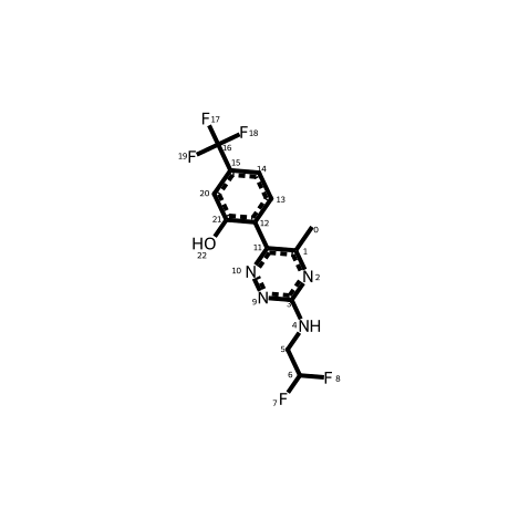 Cc1nc(NCC(F)F)nnc1-c1ccc(C(F)(F)F)cc1O